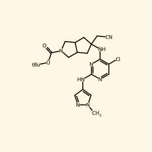 Cn1cc(Nc2ncc(Cl)c(NC3(CC#N)CC4CN(C(=O)OC(C)(C)C)CC4C3)n2)cn1